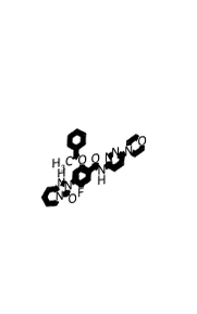 C[C@H](Oc1cc(N2NC3CCCCN3C2=O)c(F)cc1C(=O)Nc1ccc(N2CCOCC2)nn1)C1CCCCC1